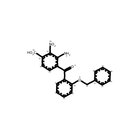 Nc1c(C(=O)c2ccccc2OCc2ccccc2)ccc(C(=O)O)c1[N+](=O)[O-]